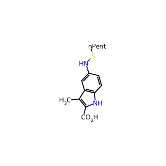 CCCCCSNc1ccc2[nH]c(C(=O)O)c(C)c2c1